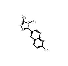 Cc1ccc2cc(-c3nnc(C)n3C)ccc2n1